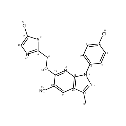 Cc1nn(-c2ccc(Cl)cc2)c2nc(OCc3ncc(Cl)s3)c(C#N)cc12